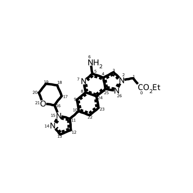 CCOC(=O)Cn1cc2c(N)nc3cc(-c4ccnn4C4CCCCO4)ccc3c2n1